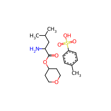 CC(C)CC(N)C(=O)OC1CCOCC1.Cc1ccc(S(=O)(=O)O)cc1